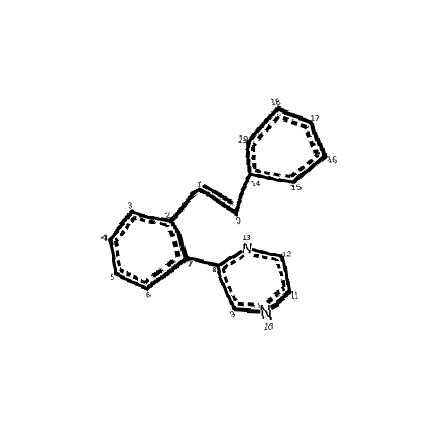 C(=Cc1ccccc1-c1cnccn1)c1ccccc1